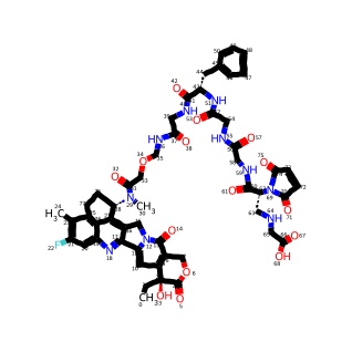 CC[C@@]1(O)C(=O)OCc2c1cc1n(c2=O)Cc2c-1nc1cc(F)c(C)c3c1c2[C@@H](N(C)C(=O)COCNC(=O)CNC(=O)[C@H](Cc1ccccc1)NC(=O)CNC(=O)CNC(=O)[C@@H](CNCC(=O)O)N1C(=O)C=CC1=O)CC3